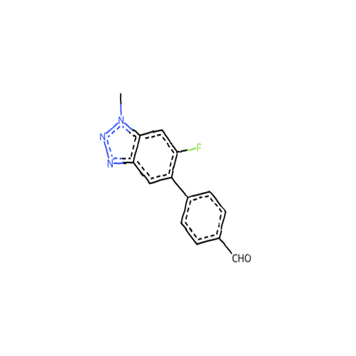 Cn1nnc2cc(-c3ccc(C=O)cc3)c(F)cc21